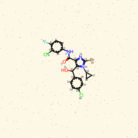 O=C(Nc1ccc(F)c(Cl)c1)c1nc(Br)n(C2CC2)c1C(O)c1ccc(Cl)cc1